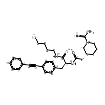 N=C(N)N1CCC[C@H](CC(=O)N[C@@H](Cc2ccc(C#Cc3ccccc3)cc2)C(=O)NCCCCS)C1